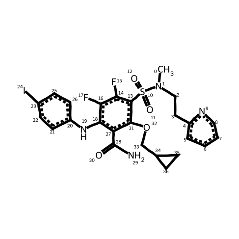 CN(CCc1ccccn1)S(=O)(=O)c1c(F)c(F)c(Nc2ccc(I)cc2)c(C(N)=O)c1OCC1CC1